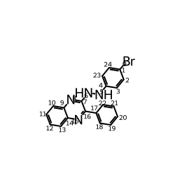 Brc1ccc(NNc2nc3ccccc3nc2-c2ccccc2)cc1